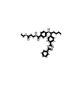 CCCCC(Nc1ccc(C(=O)NCCC(=O)OCC)cc1)c1ccc(-c2nnc(-c3ccccc3)o2)cc1